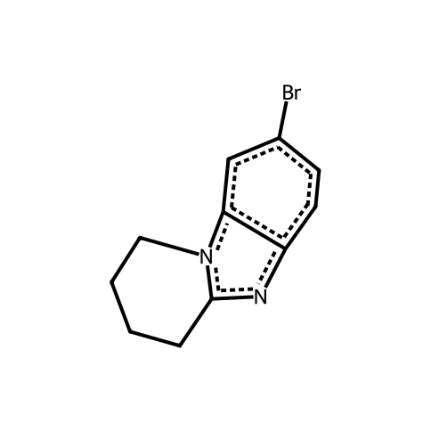 Brc1ccc2nc3n(c2c1)CCCC3